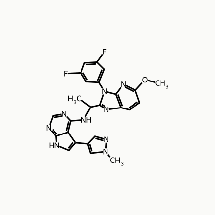 COc1ccc2nc(C(C)Nc3ncnc4[nH]cc(-c5cnn(C)c5)c34)n(-c3cc(F)cc(F)c3)c2n1